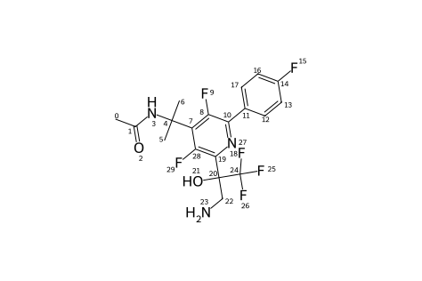 CC(=O)NC(C)(C)c1c(F)c(-c2ccc(F)cc2)nc(C(O)(CN)C(F)(F)F)c1F